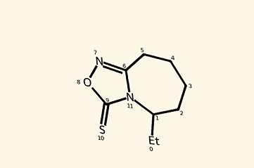 CCC1CCCCc2noc(=S)n21